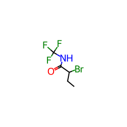 CCC(Br)C(=O)NC(F)(F)F